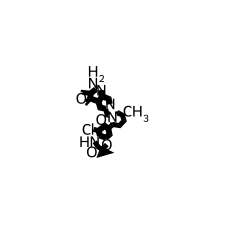 C[C@H]1CCC(c2cc(Cl)c3c(c2)OC2(CC2)C(=O)N3)N(C(=O)c2cc3c4c(c(N)nc3cn2)COC4)C1